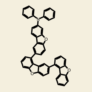 c1ccc(N(c2ccccc2)c2ccc3c(c2)oc2ccc(-c4cccc5oc6ccc(-c7cccc8oc9ccccc9c78)cc6c45)cc23)cc1